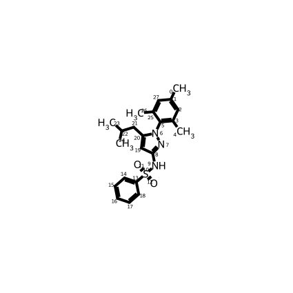 Cc1cc(C)c(-n2nc(NS(=O)(=O)c3ccccc3)cc2CC(C)C)c(C)c1